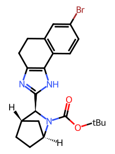 CC(C)(C)OC(=O)N1[C@H]2CC[C@@H](C2)[C@H]1c1nc2c([nH]1)-c1ccc(Br)cc1CC2